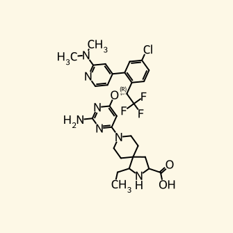 CCC1NC(C(=O)O)CC12CCN(c1cc(O[C@H](c3ccc(Cl)cc3-c3ccnc(N(C)C)c3)C(F)(F)F)nc(N)n1)CC2